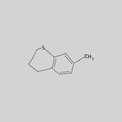 Cc1ccc2c(c1)SCCC2